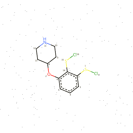 ClSc1cccc(OC2CCNCC2)c1SCl